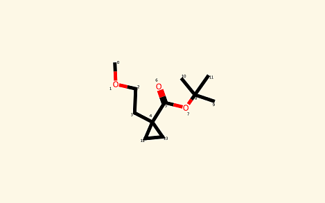 COCCC1(C(=O)OC(C)(C)C)CC1